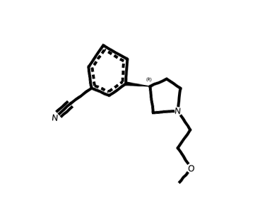 COCCN1CC[C@H](c2cccc(C#N)c2)C1